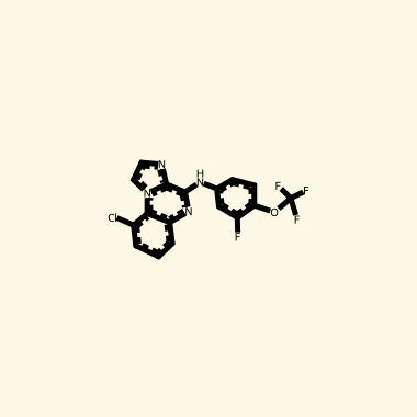 Fc1cc(Nc2nc3cccc(Cl)c3n3ccnc23)ccc1OC(F)(F)F